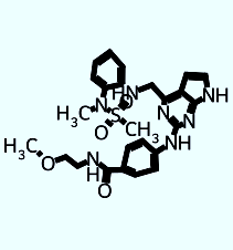 COCCNC(=O)c1ccc(Nc2nc(CNc3ccccc3N(C)S(C)(=O)=O)c3cc[nH]c3n2)cc1